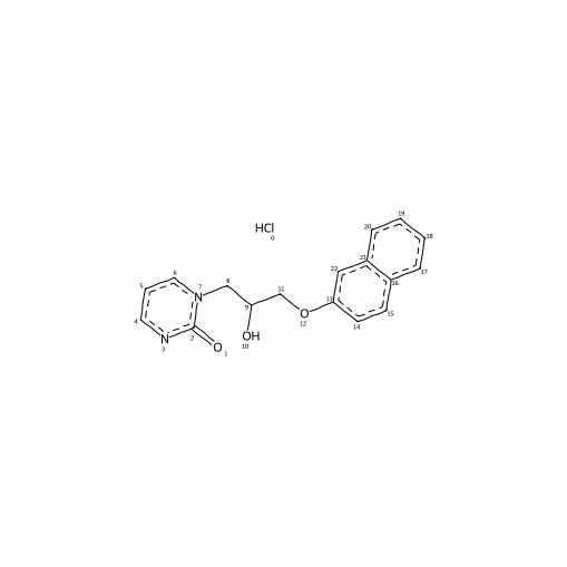 Cl.O=c1ncccn1CC(O)COc1ccc2ccccc2c1